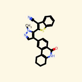 Cn1ncc(-c2ccc3c(=O)[nH]c4c(c3c2)CCCC4)c1-c1sc2ccccc2c1C#N